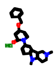 CN1CCc2c(c3cc(-n4ccc(OCc5ccccc5)cc4=O)ccc3n2C)C1.Cl